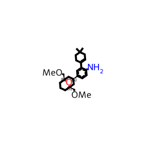 COC[C@@]12CCC[C@@](COC)(C[C@H](c3ccc(N)c(C4=CCC(C)(C)CC4)c3)C1)O2